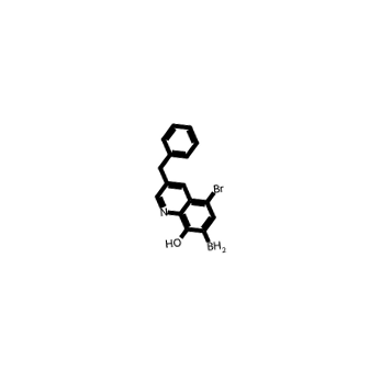 Bc1cc(Br)c2cc(Cc3ccccc3)cnc2c1O